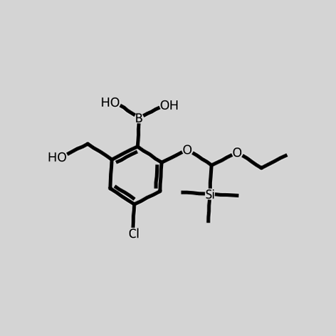 CCOC(Oc1cc(Cl)cc(CO)c1B(O)O)[Si](C)(C)C